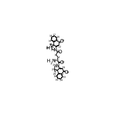 N[C@@H](CCC(=O)N1C[C@H]2C[C@@]23C1=CC(=O)c1ccccc13)C(=O)N1CC2C[C@@]23C1=CC(=O)c1ccccc13